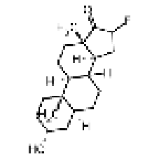 C[C@]12CC[C@@H](O)C[C@@H]1CC[C@@H]1[C@@H]2CC[C@]2(C)C(=O)C(F)C[C@@H]12